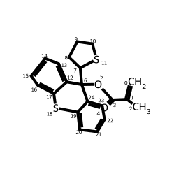 C=C(C)C(=O)OC1(C2CCCS2)c2ccccc2Sc2ccccc21